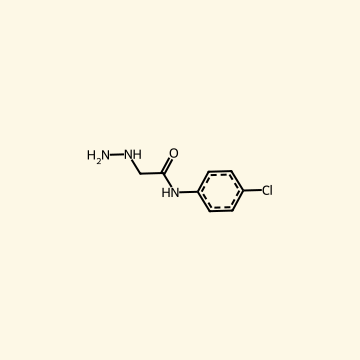 NNCC(=O)Nc1ccc(Cl)cc1